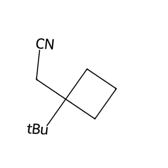 CC(C)(C)C1(CC#N)CCC1